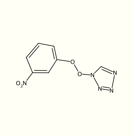 O=[N+]([O-])c1cccc(OOn2cnnn2)c1